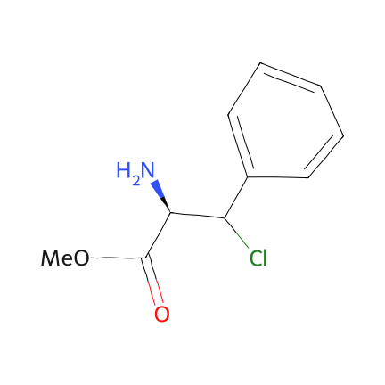 COC(=O)[C@@H](N)C(Cl)c1ccccc1